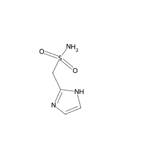 NS(=O)(=O)Cc1ncc[nH]1